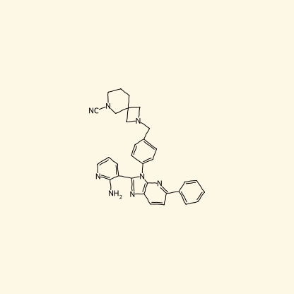 N#CN1CCCC2(C1)CN(Cc1ccc(-n3c(-c4cccnc4N)nc4ccc(-c5ccccc5)nc43)cc1)C2